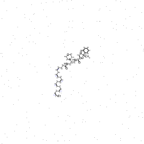 CC/C=C\C/C=C\C/C=C\C/C=C\C/C=C\C/C=C\CCC(=O)NCC(CNC(=O)C1=CC(=O)C(C)(c2ccccc2)O1)N1CCOCC1